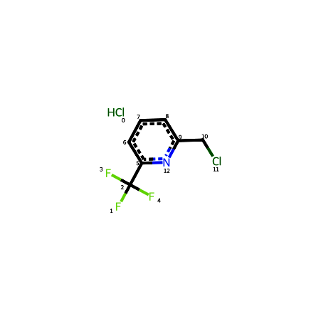 Cl.FC(F)(F)c1cccc(CCl)n1